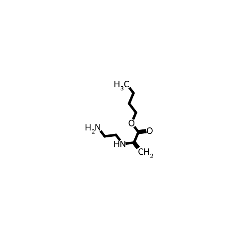 C=C(NCCN)C(=O)OCCCC